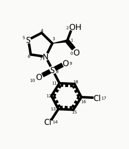 O=C(O)[C@@H]1CSCN1S(=O)(=O)c1cc(Cl)cc(Cl)c1